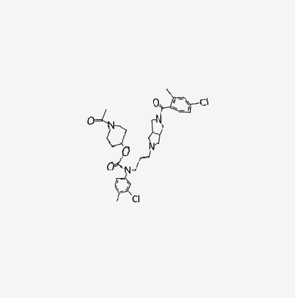 CC(=O)N1CCC(OC(=O)N(CCCN2CC3CN(C(=O)c4ccc(Cl)cc4C)CC3C2)c2ccc(C)c(Cl)c2)CC1